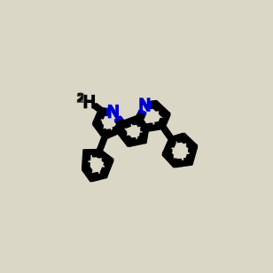 [2H]c1cc(-c2ccccc2)c2ccc3c(-c4ccccc4)ccnc3c2n1